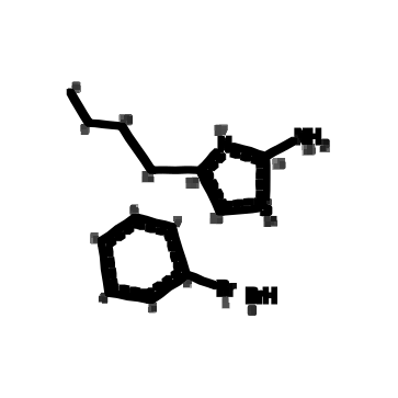 Br.Brc1ccccc1.CCCCc1csc(N)n1